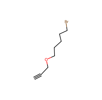 C#CCOCCCCCBr